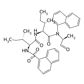 CC[C@H](C)[C@H](NS(=O)(=O)c1cccc2ccccc12)C(=O)N[C@H](C(=O)N(c1cccc2ccccc12)[C@@H](C)C=O)[C@@H](C)CC